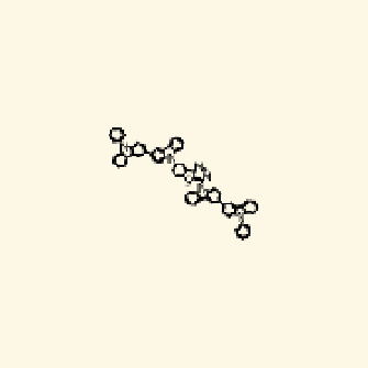 c1ccc(-n2c3ccccc3c3cc(-c4ccc5c(c4)c4ccccc4n5-c4ccc5sc6c(-n7c8ccccc8c8cc(-c9ccc%10c(c9)c9ccccc9n%10-c9ccccc9)ccc87)ncnc6c5c4)ccc32)cc1